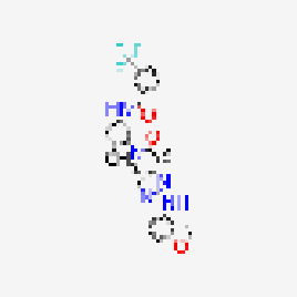 Cc1ccc(NC(=O)c2cccc(C(F)(F)F)c2)cc1N1Cc2cnc(Nc3cccc4c3CCO4)nc2C2(CC2)C1=O